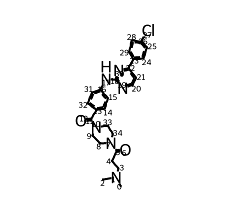 CN(C)CCC(=O)N1CCN(C(=O)c2ccc(Nc3nccc(-c4ccc(Cl)cc4)n3)cc2)CC1